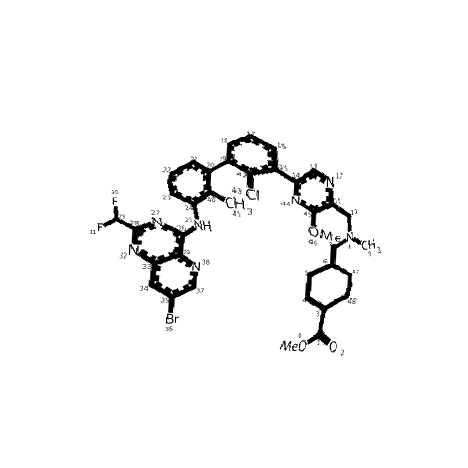 COC(=O)C1CCC(CN(C)Cc2ncc(-c3cccc(-c4cccc(Nc5nc(C(F)F)nc6cc(Br)cnc56)c4C)c3Cl)nc2OC)CC1